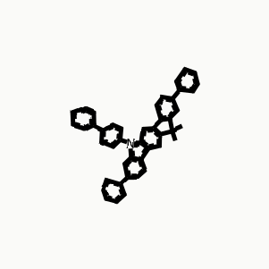 CC1(C)c2cc(-c3ccccc3)ccc2-c2cc3c(cc21)c1ccc(-c2ccccc2)cc1n3-c1ccc(-c2ccccc2)cc1